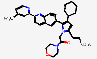 Cc1ccnc(-c2ccc3cc(-c4c(C5CCCCC5)cc(C=CC(=O)O)n4CC(=O)N4CCOCC4)ccc3n2)c1